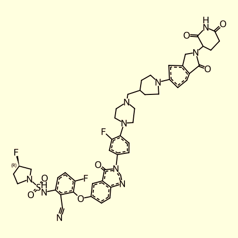 N#Cc1c(NS(=O)(=O)N2CC[C@@H](F)C2)ccc(F)c1Oc1ccc2ncn(-c3ccc(N4CCN(CC5CCN(c6ccc7c(c6)CN(C6CCC(=O)NC6=O)C7=O)CC5)CC4)c(F)c3)c(=O)c2c1